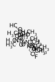 C#CCOc1ccc(CC(NC(=O)[C@H](CC)N(C)C(=O)OC(C)(C)C)C(=O)N2CC(C)(C)c3nc(O[Si](C)(C)C(C)(C)C)c(Cc4ccc(F)cc4)cc32)c(OC)c1